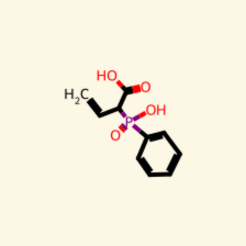 C=CC(C(=O)O)P(=O)(O)c1ccccc1